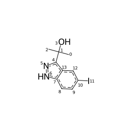 CC(C)(O)c1n[nH]c2ccc(I)cc12